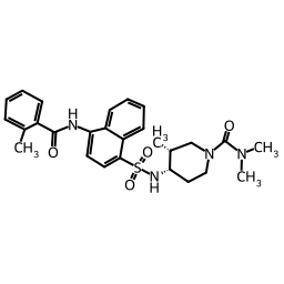 Cc1ccccc1C(=O)Nc1ccc(S(=O)(=O)N[C@H]2CCN(C(=O)N(C)C)C[C@H]2C)c2ccccc12